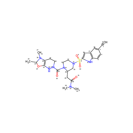 C#Cc1ccc2[nH]c(S(=O)(=O)N3CCN(C(=O)N4CCC5=C(N4)OC(C)N5C)C(CC(=O)N(C)C)C3)cc2c1